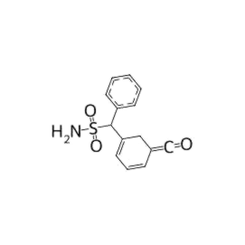 NS(=O)(=O)C(C1=CC=CC(=C=O)C1)c1ccccc1